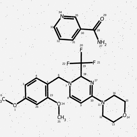 COc1ccc(CN2C=CC(N3CCOCC3)=NC2C(F)(F)F)c(OC)c1.NC(=O)c1cccnc1